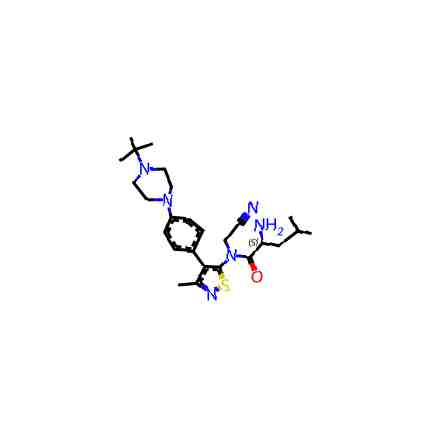 Cc1nsc(N(CC#N)C(=O)[C@@H](N)CC(C)C)c1-c1ccc(N2CCN(C(C)(C)C)CC2)cc1